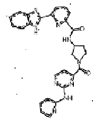 O=C(NC1CCN(C(=O)c2ccnc(Nc3ccccn3)n2)C1)c1cccc(-c2nc3ccccc3[nH]2)n1